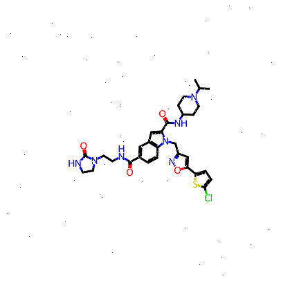 CC(C)N1CCC(NC(=O)c2cc3cc(C(=O)NCCN4CCNC4=O)ccc3n2Cc2cc(-c3ccc(Cl)s3)on2)CC1